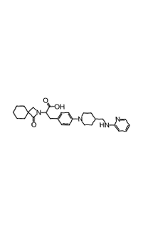 O=C(O)C(Cc1ccc(N2CCC(CNc3ccccn3)CC2)cc1)N1CC2(CCCCC2)C1=O